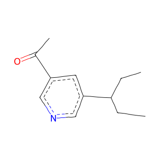 CCC(CC)c1cncc(C(C)=O)c1